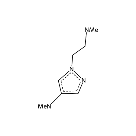 CNCCn1cc(NC)cn1